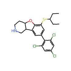 CCC(CC)Sc1cc(-c2c(Cl)cc(Cl)cc2Cl)cc2c1OC1CCNCC21